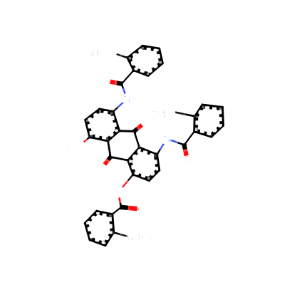 CCCCCCCc1ccccc1C(=O)Nc1ccc(O)c2c1C(=O)c1c(NC(=O)c3ccccc3CCCCCCC)ccc(OC(=O)c3ccccc3CCCCCCC)c1C2=O